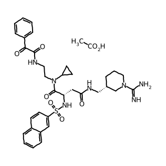 CC(=O)O.N=C(N)N1CCC[C@@H](CNC(=O)C[C@H](NS(=O)(=O)c2ccc3ccccc3c2)C(=O)N(CCNC(=O)C(=O)c2ccccc2)C2CC2)C1